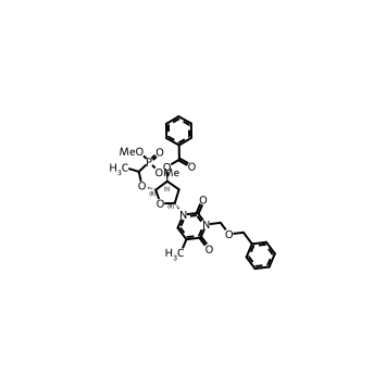 COP(=O)(OC)C(C)O[C@H]1O[C@@H](n2cc(C)c(=O)n(COCc3ccccc3)c2=O)C[C@@H]1OC(=O)c1ccccc1